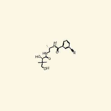 C[C@@H](CNC(=O)[C@H](O)C(C)(C)CO)NC(=O)c1cccc(C#N)c1